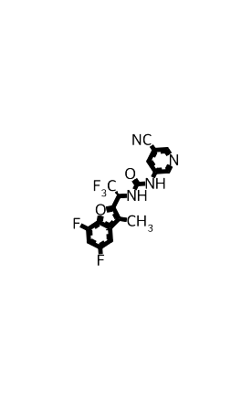 Cc1c([C@H](NC(=O)Nc2cncc(C#N)c2)C(F)(F)F)oc2c(F)cc(F)cc12